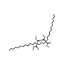 CCCCCCCCCCCCC(CCCC(CCCCCCCCCCCC)(C(=O)OC)C(=O)OC)(C(=O)OC)C(=O)OC